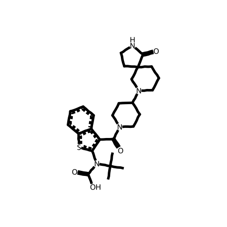 CC(C)(C)N(C(=O)O)c1sc2ccccc2c1C(=O)N1CCC(N2CCCC3(CCNC3=O)C2)CC1